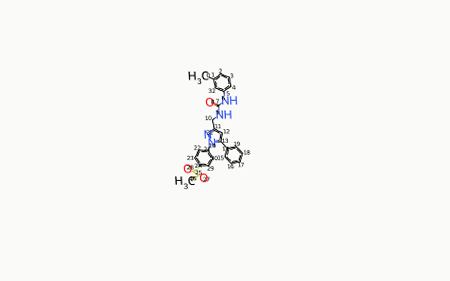 Cc1cccc(NC(=O)NCc2cc(-c3ccccc3)n(-c3ccc(S(C)(=O)=O)cc3)n2)c1